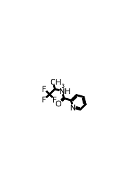 CC(NC(=O)c1ccccn1)C(F)(F)F